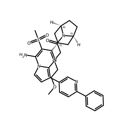 COCCOCC(=O)N1[C@@H]2CC[C@H]1C[C@H](c1nc3c(-c4ccc(-c5ccccc5)nc4)ccn3c(N)c1S(C)(=O)=O)C2